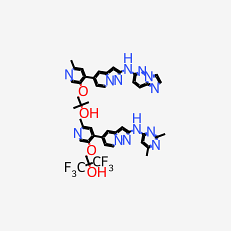 Cc1cc(-c2ccn3nc(Nc4cc(C)nc(C)n4)cc3c2)c(OCC(O)(C(F)(F)F)C(F)(F)F)cn1.Cc1cc(-c2ccn3nc(Nc4ccc5nccn5n4)cc3c2)c(OCC(C)(C)O)cn1